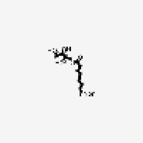 CCCCCCCCCCCCCCCC(=O)OCC(O)C(O)CO